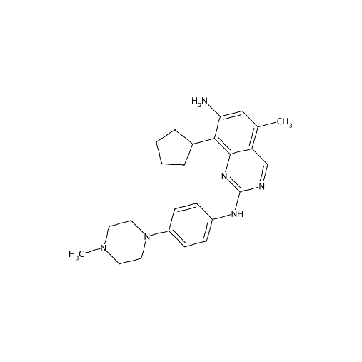 Cc1cc(N)c(C2CCCC2)c2nc(Nc3ccc(N4CCN(C)CC4)cc3)ncc12